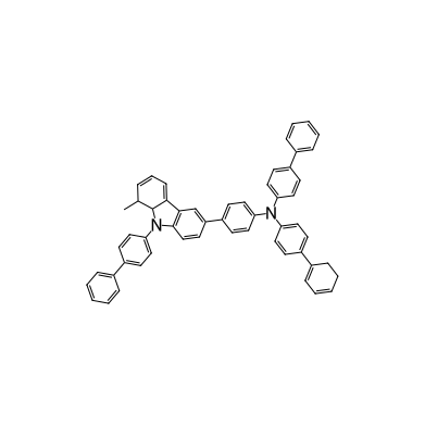 CC1C=CC=C2c3cc(-c4ccc(N(c5ccc(C6=CC=CCC6)cc5)c5ccc(-c6ccccc6)cc5)cc4)ccc3N(c3ccc(-c4ccccc4)cc3)C21